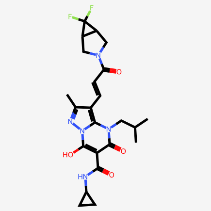 Cc1nn2c(O)c(C(=O)NC3CC3)c(=O)n(CC(C)C)c2c1C=CC(=O)N1CC2C(C1)C2(F)F